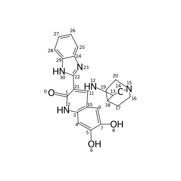 O=c1[nH]c2cc(O)c(O)cc2c(NC2CN3CCC2CC3)c1-c1nc2ccccc2[nH]1